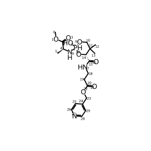 COC(=O)[C@H](C)N[PH]1(O)OCC(C)(C)[C@H](C(=O)NCCC(=O)OCc2ccncc2)O1